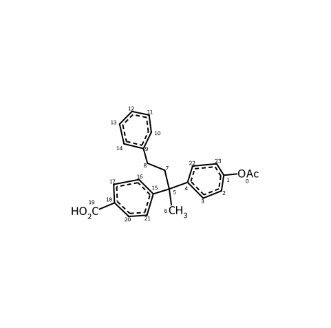 CC(=O)Oc1ccc(C(C)(CCc2ccccc2)c2ccc(C(=O)O)cc2)cc1